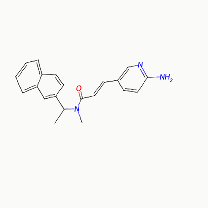 CC(c1ccc2ccccc2c1)N(C)C(=O)/C=C/c1ccc(N)nc1